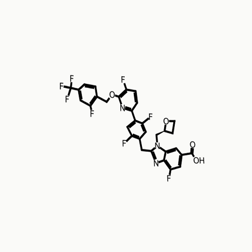 O=C(O)c1cc(F)c2nc(Cc3cc(F)c(-c4ccc(F)c(OCc5ccc(C(F)(F)F)cc5F)n4)cc3F)n(C[C@@H]3CCO3)c2c1